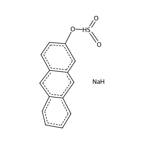 O=[SH](=O)Oc1ccc2cc3ccccc3cc2c1.[NaH]